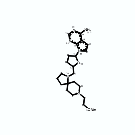 COCCN1CCC2(CCCN2CC2CCC(n3ccc4c(N)ncnc43)O2)CC1